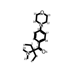 CCC(CC)(C(=O)c1ccc(N2CCOCC2)cc1)N(C)C